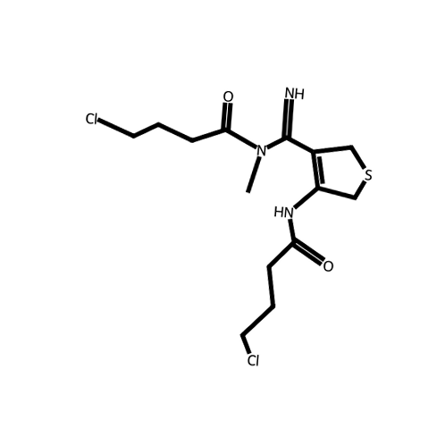 CN(C(=N)C1=C(NC(=O)CCCCl)CSC1)C(=O)CCCCl